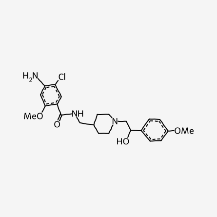 COc1ccc(C(O)CN2CCC(CNC(=O)c3cc(Cl)c(N)cc3OC)CC2)cc1